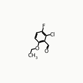 CCOc1ccc(F)c(Cl)c1C=O